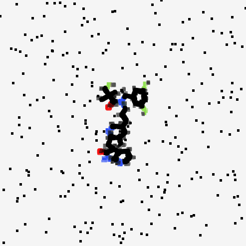 C[C@H](c1cc(F)cc(F)c1)N(C/C=C/c1cnc2c(c1)C[C@@]1(C2)C(=O)Nc2ncccc21)C(=O)C(C)(C)CF